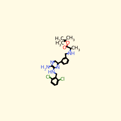 C[C@H](NCc1cccc(-c2cnc(N)c(NCc3c(Cl)cccc3Cl)n2)c1)C(=O)OC(C)(C)C